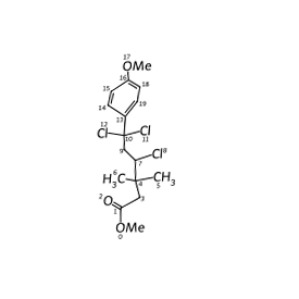 COC(=O)CC(C)(C)C(Cl)CC(Cl)(Cl)c1ccc(OC)cc1